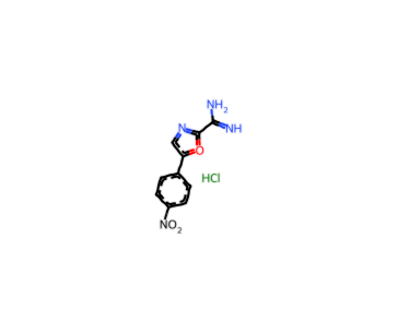 Cl.N=C(N)c1ncc(-c2ccc([N+](=O)[O-])cc2)o1